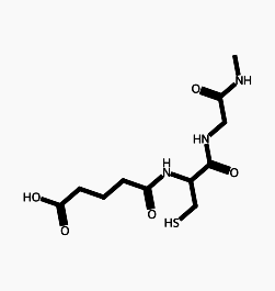 CNC(=O)CNC(=O)C(CS)NC(=O)CCCC(=O)O